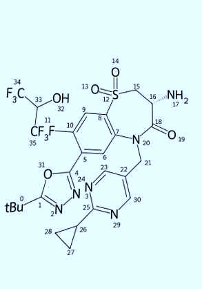 CC(C)(C)c1nnc(-c2cc3c(cc2F)S(=O)(=O)C[C@H](N)C(=O)N3Cc2cnc(C3CC3)nc2)o1.OC(C(F)(F)F)C(F)(F)F